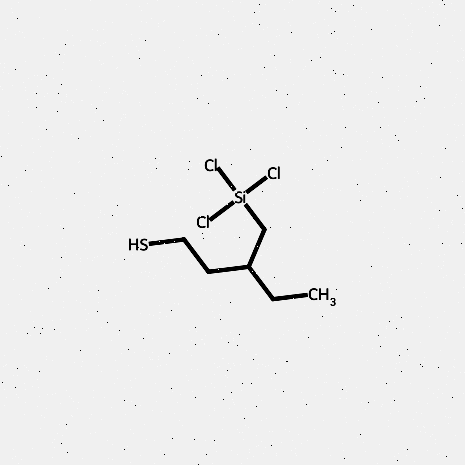 CCC(CCS)C[Si](Cl)(Cl)Cl